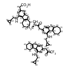 CN(C)C(=O)Cc1nc(NCC2CC2)c2c3c(sc2n1)CCCCC3.O=C(Cc1nc(NCC2CC2)c2c3c(sc2n1)CCCC3)C(F)(F)F.O=C(O)Cc1nc(NCC2CC2)c2c3c(sc2n1)CCCCC3